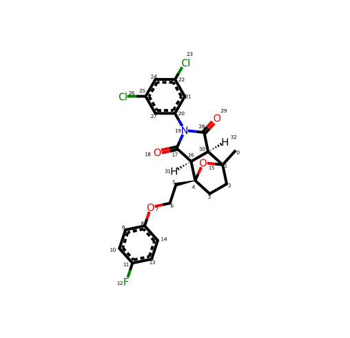 CC12CC[C@@](CCOc3ccc(F)cc3)(O1)[C@H]1C(=O)N(c3cc(Cl)cc(Cl)c3)C(=O)[C@H]12